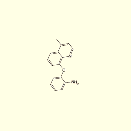 Cc1ccnc2c(Oc3ccccc3N)cccc12